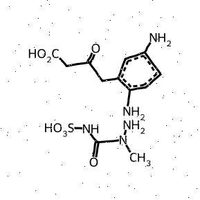 CN(N)C(=O)NS(=O)(=O)O.Nc1ccc(N)c(CC(=O)CC(=O)O)c1